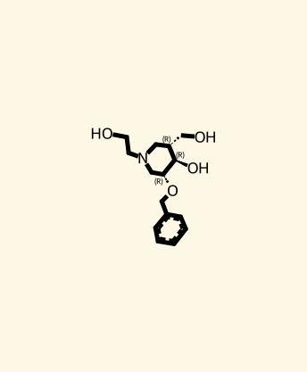 OCCN1C[C@H](CO)[C@@H](O)[C@H](OCc2ccccc2)C1